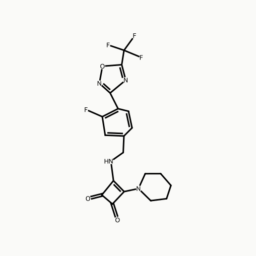 O=c1c(NCc2ccc(-c3noc(C(F)(F)F)n3)c(F)c2)c(N2CCCCC2)c1=O